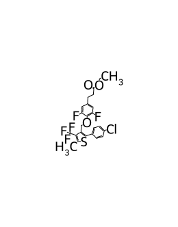 CCOC(=O)CCc1cc(F)c(OCc2c(-c3ccc(Cl)cc3)sc(C)c2C(F)(F)F)c(F)c1